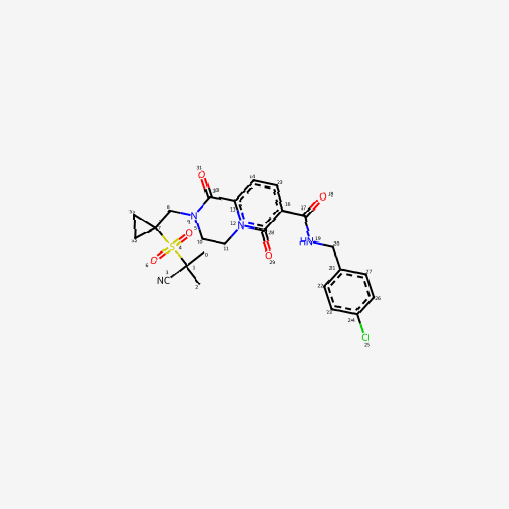 CC(C)(C#N)S(=O)(=O)C1(CN2CCn3c(ccc(C(=O)NCc4ccc(Cl)cc4)c3=O)C2=O)CC1